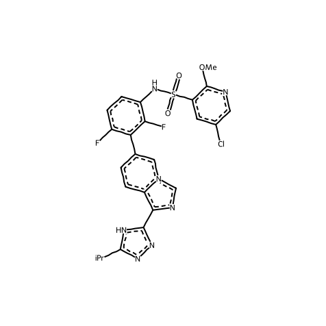 COc1ncc(Cl)cc1S(=O)(=O)Nc1ccc(F)c(-c2ccc3c(-c4nnc(C(C)C)[nH]4)ncn3c2)c1F